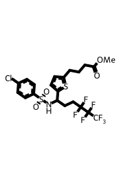 COC(=O)CCCc1ccc(C(CCC(F)(F)C(F)(F)C(F)(F)F)NS(=O)(=O)c2ccc(Cl)cc2)s1